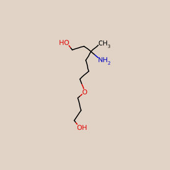 CC(N)(CCO)CCCOCCCO